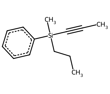 CC#C[Si](C)(CCC)c1ccccc1